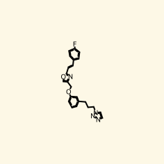 Fc1ccc(C=Cc2nc(COc3cccc(CCCn4ccnn4)c3)co2)cc1